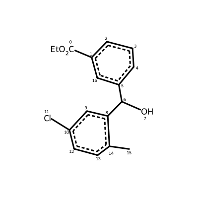 CCOC(=O)c1cccc(C(O)c2cc(Cl)ccc2C)c1